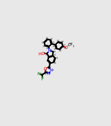 OC1c2cc(-c3nnc(C(F)F)o3)ccc2CN1c1ccccc1-c1ccc(OC(F)(F)F)cc1